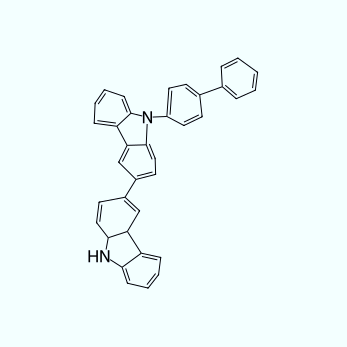 C1=CC2Nc3ccccc3C2C=C1c1ccc2c(c1)c1ccccc1n2-c1ccc(-c2ccccc2)cc1